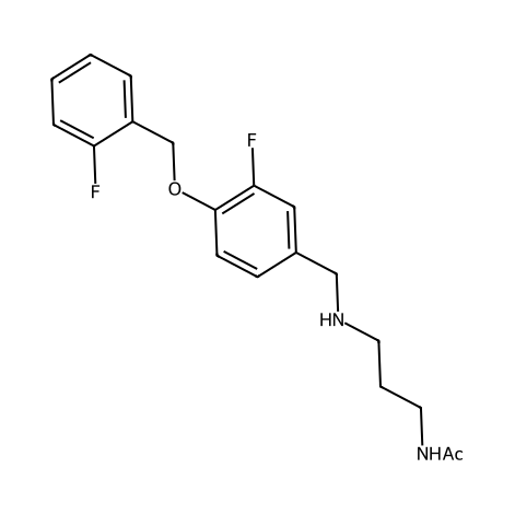 CC(=O)NCCCNCc1ccc(OCc2ccccc2F)c(F)c1